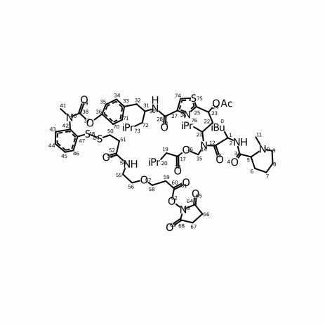 CCC(C)C(NC(=O)C1CCCCN1C)C(=O)N(COC(=O)CC(C)C)C(CC(OC(C)=O)c1nc(C(=O)NC(Cc2ccc(OC(=O)N(C)c3ccccc3SSCCC(=O)NCCOCCC(=O)ON3C(=O)CCC3=O)cc2)CC(C)C)cs1)C(C)C